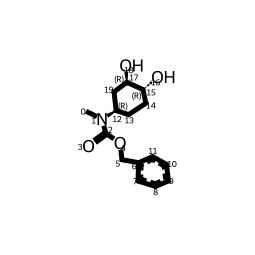 CN(C(=O)OCc1ccccc1)[C@@H]1CC[C@@H](O)[C@H](O)C1